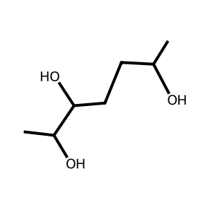 CC(O)CCC(O)C(C)O